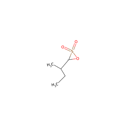 CCC(C)[C]1OS1(=O)=O